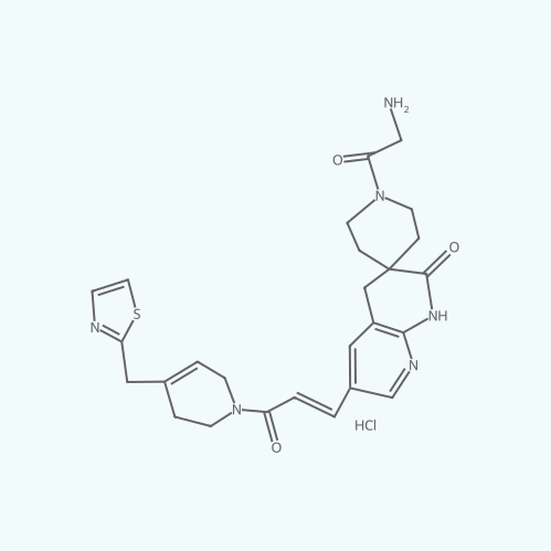 Cl.NCC(=O)N1CCC2(CC1)Cc1cc(C=CC(=O)N3CC=C(Cc4nccs4)CC3)cnc1NC2=O